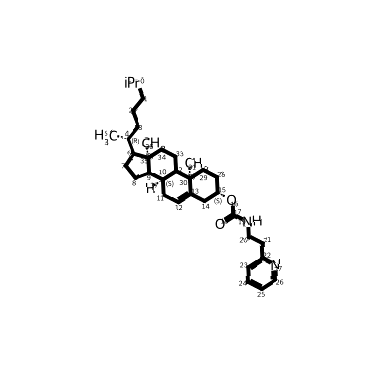 CC(C)CCC[C@@H](C)C1CCC2[C@@H]3CC=C4C[C@@H](OC(=O)NCCc5ccccn5)CC[C@]4(C)C3CC[C@@]21C